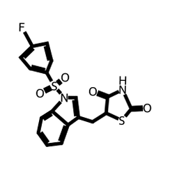 O=C1NC(=O)C(Cc2cn(S(=O)(=O)c3ccc(F)cc3)c3ccccc23)S1